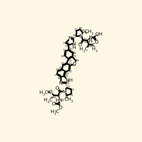 COC(=O)N[C@H](C(=O)N1[C@@H](C)CC[C@H]1c1nc2ccc3cc4c(cc3c2[nH]1)OCc1cc(-c2cnc([C@@H]3CC[C@H](C)N3C(=O)[C@@H](NC(=O)O)C(C)C)[nH]2)ccc1-4)[C@H](C)OC